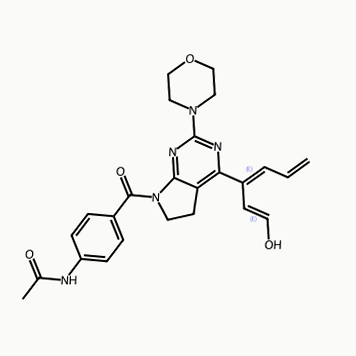 C=C/C=C(\C=C\O)c1nc(N2CCOCC2)nc2c1CCN2C(=O)c1ccc(NC(C)=O)cc1